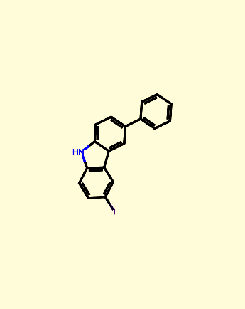 Ic1ccc2[nH]c3ccc(-c4ccccc4)cc3c2c1